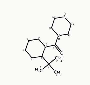 CC(C)(C)C1CCCCN1C(=O)N1CCSCC1